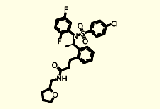 C[C@H](c1ccccc1CCC(=O)NCC1CCCO1)N(c1cc(F)ccc1F)S(=O)(=O)c1ccc(Cl)cc1